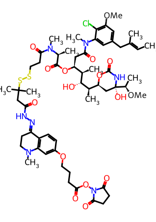 C/C=C(\C)Cc1cc(OC)c(Cl)c(N(C)C(=O)C[C@H](OC(=O)[C@H](C)N(C)C(=O)CCSSC(C)(C)CC(=O)N/N=C2\CCN(C)c3cc(OCCCC(=O)ON4C(=O)CCC4=O)ccc32)[C@@H](C)[C@@H](O)[C@H](C)[C@@H]2C[C@](O)([C@@H](C)OC)NC(=O)O2)c1